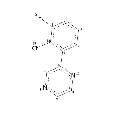 Fc1cccc(-c2cnccn2)c1Cl